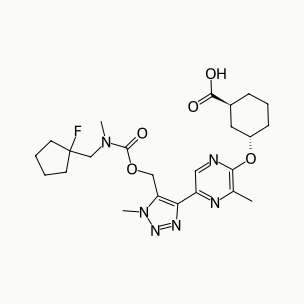 Cc1nc(-c2nnn(C)c2COC(=O)N(C)CC2(F)CCCC2)cnc1O[C@H]1CCC[C@H](C(=O)O)C1